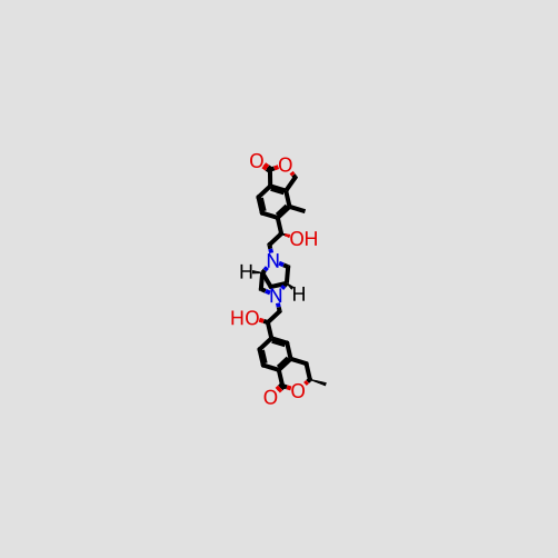 Cc1c([C@@H](O)CN2C[C@H]3C[C@@H]2CN3CC(O)c2ccc3c(c2)C[C@@H](C)OC3=O)ccc2c1COC2=O